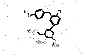 CCCCOC[C@H]1C=C(c2ccc(Cl)c(Cc3ccc(OCC)cc3)c2)C[C@@H](OCCCC)[C@@H]1OCCCC